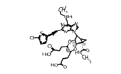 CCNc1nc(C#Cc2ccc(Cl)s2)nc2c1ncn2C1C2C[C@@]2(C(=O)NC)[C@@H](OC(=O)CCC(=O)O)[C@H]1OC(=O)CCC(=O)O